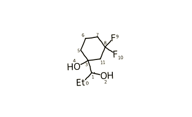 CC[C](O)C1(O)CCCC(F)(F)C1